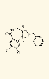 O=C1NC[C@H]2CN(Cc3ccccc3)C[C@@H]2c2cc(Cl)c(Cl)cc21